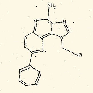 CC(C)Cn1cnc2c(N)nc3ccc(-c4cccnc4)cc3c21